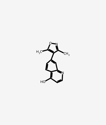 Cc1noc(C)c1-c1ccc2c(O)ccnc2c1